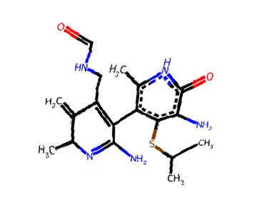 C=C1C(CNC=O)=C(c2c(C)[nH]c(=O)c(N)c2SC(C)C)C(N)=NC1C